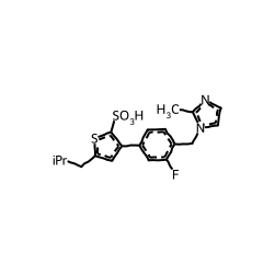 Cc1nccn1Cc1ccc(-c2cc(CC(C)C)sc2S(=O)(=O)O)cc1F